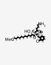 COCCCCCCCCCCCC(=O)N(OCc1ccccc1Cl)[C@H](C(=O)O)C(=C=O)CCCN